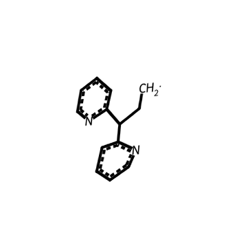 [CH2]CC(c1ccccn1)c1ccccn1